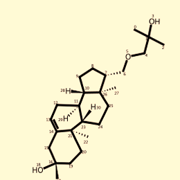 CC(C)(O)COC[C@H]1CC[C@H]2[C@@H]3CC=C4C[C@@](C)(O)CC[C@]4(C)[C@H]3CC[C@]12C